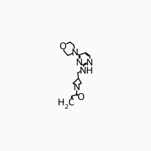 C=CC(=O)N1CC(CNc2nccc(N3CCOCC3)n2)C1